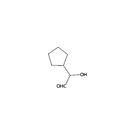 O=CC(O)C1CCCC1